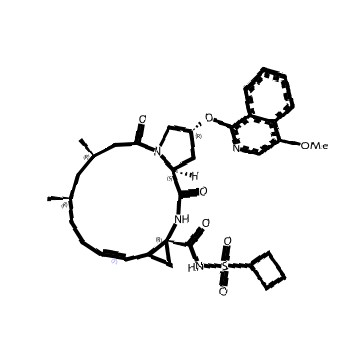 COc1cnc(O[C@@H]2C[C@H]3C(=O)N[C@]4(C(=O)NS(=O)(=O)C5CCC5)CC4/C=C\CC[C@@H](C)C[C@@H](C)CC(=O)N3C2)c2ccccc12